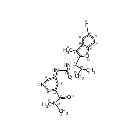 Cc1c([C@@H](NC(=O)Nc2cncc(C(=O)N(C)C)c2)C(C)C)oc2ccc(F)cc12